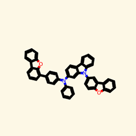 c1ccc(N(c2ccc(-c3cccc4c3oc3ccccc34)cc2)c2ccc3c4ccccc4n(-c4ccc5oc6ccccc6c5c4)c3c2)cc1